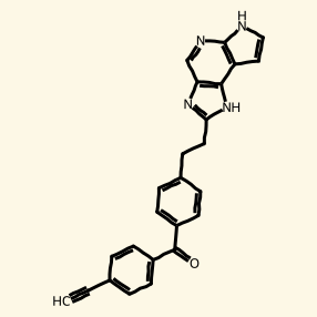 C#Cc1ccc(C(=O)c2ccc(CCc3nc4cnc5[nH]ccc5c4[nH]3)cc2)cc1